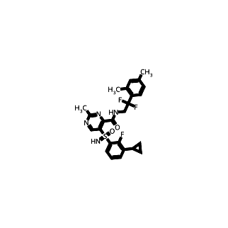 Cc1ccc(C(F)(F)CNC(=O)c2nc(C)ncc2S(=N)(=O)c2cccc(C3CC3)c2F)c(C)c1